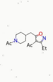 CCc1noc(CC2CCN(C(C)=O)CC2)c1C(C)=O